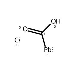 O=[C](O)[Pb].[C]